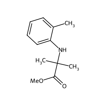 COC(=O)C(C)(C)Nc1ccccc1C